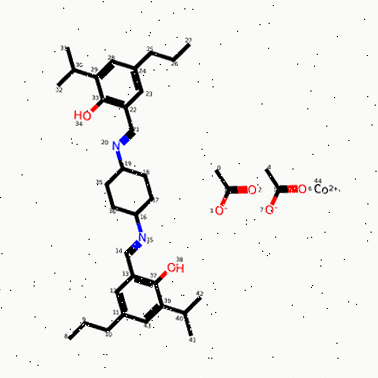 CC(=O)[O-].CC(=O)[O-].CCCc1cc(C=NC2CCC(N=Cc3cc(CCC)cc(C(C)C)c3O)CC2)c(O)c(C(C)C)c1.[Co+2]